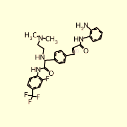 CN(C)CCNC(C(=O)Nc1ccc(C(F)(F)F)cc1F)c1ccc(/C=C/C(=O)Nc2ccccc2N)cc1